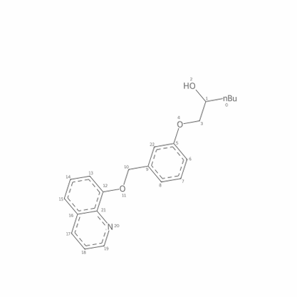 CCCCC(O)COc1cccc(COc2cccc3cccnc23)c1